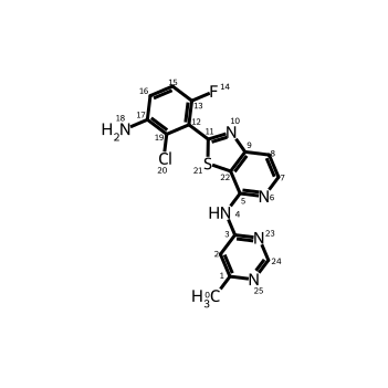 Cc1cc(Nc2nccc3nc(-c4c(F)ccc(N)c4Cl)sc23)ncn1